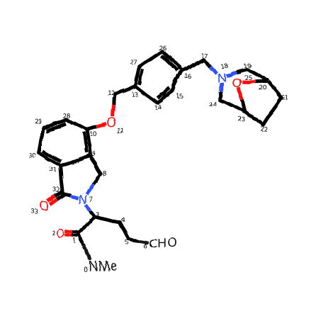 CNC(=O)C(CCC=O)N1Cc2c(OCc3ccc(CN4CC5CCC(C4)O5)cc3)cccc2C1=O